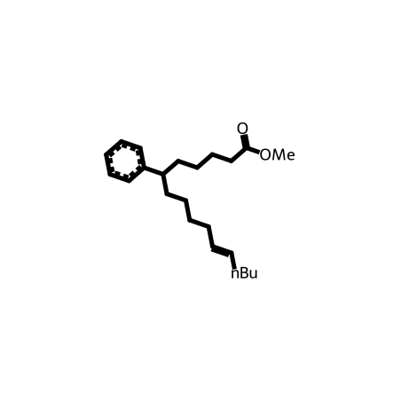 CCCCC=CCCCCC(CCCCC(=O)OC)c1ccccc1